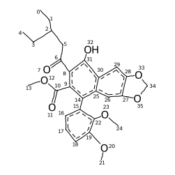 CCC(CC)CC(=O)c1c(C(=O)OC)c(-c2cccc(OC)c2OC)c2cc3c(cc2c1O)OCO3